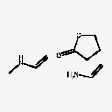 C=CN.C=CNC.O=C1CCCO1